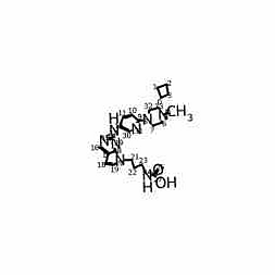 C1CCC1.CN1CCN(c2ccc(Nc3ncc4ccn(CCCNC(=O)O)c4n3)cn2)CC1